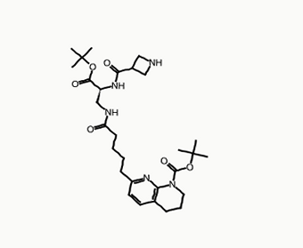 CC(C)(C)OC(=O)[C@H](CNC(=O)CCCCc1ccc2c(n1)N(C(=O)OC(C)(C)C)CCC2)NC(=O)C1CNC1